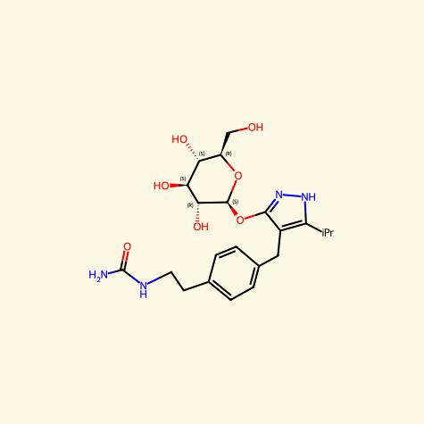 CC(C)c1[nH]nc(O[C@@H]2O[C@H](CO)[C@@H](O)[C@H](O)[C@H]2O)c1Cc1ccc(CCNC(N)=O)cc1